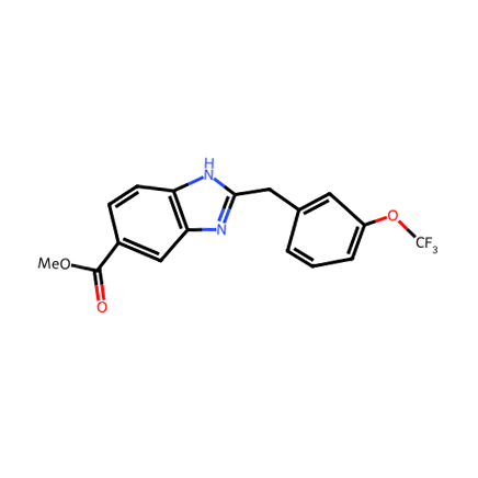 COC(=O)c1ccc2[nH]c(Cc3cccc(OC(F)(F)F)c3)nc2c1